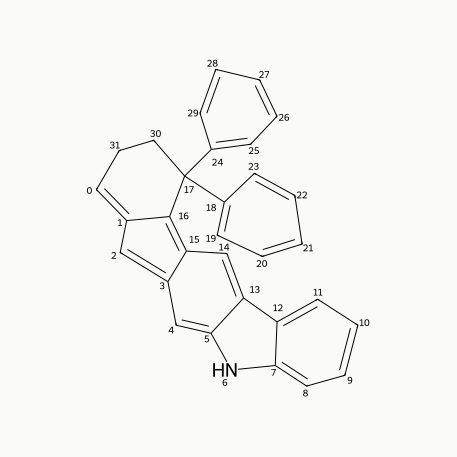 C1=C2C=c3cc4[nH]c5ccccc5c4cc3=C2C(c2ccccc2)(c2ccccc2)CC1